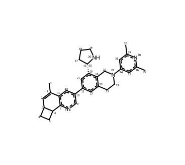 CC1=CC2CCC2c2ncc(-c3cc4c(c([C@@H]5CCCN5)c3)CN(c3cc(C)nc(C)c3)CC4)cc21